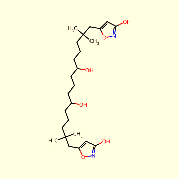 CC(C)(CCCC(O)CCCC(O)CCCC(C)(C)Cc1cc(O)no1)Cc1cc(O)no1